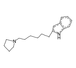 c1ccc2[nH]c(CCCCCCN3CCCC3)cc2c1